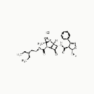 CCN(CC)CCOC(=O)[C@@H]1N2C(=O)[C@@H](NC(=O)C3C(c4ccccc4)=NOC3C)[C@H]2SC1(C)C.Cl